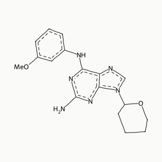 COc1cccc(Nc2nc(N)nc3c2ncn3C2CCCCO2)c1